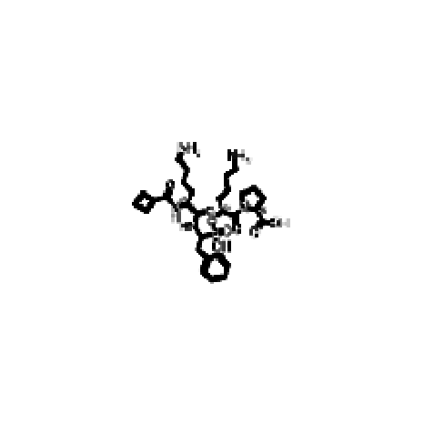 NCCCC[C@H](NC(=O)C1CCC1)C(=O)NC(Cc1ccccc1)P(=O)(O)O[C@@H](CCCCN)C(=O)N1CCC[C@H]1C(=O)O